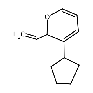 C=CC1OC=CC=C1C1CCCC1